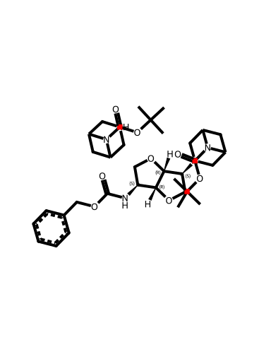 CC(C)(C)OC(=O)N1C2CC1CN([C@H]1CO[C@H]3[C@@H]1OC[C@@H]3NC(=O)OCc1ccccc1)C2.CC(C)(C)OC(=O)N1C2CNCC1C2